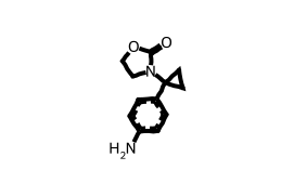 Nc1ccc(C2(N3CCOC3=O)CC2)cc1